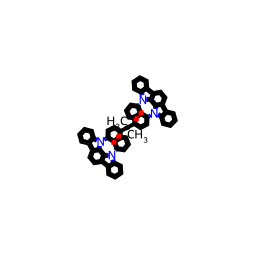 CC(C)(c1ccc(-n2c3ccccc3c3ccc4c5ccccc5n(-c5ccccc5)c4c32)cc1)c1ccc(-n2c3ccccc3c3ccc4c5ccccc5n(-c5ccccc5)c4c32)cc1